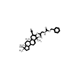 CC1(C)C2=CCC3C(CC[C@@]4(C)C3CC[C@]4(C)O)[C@@]2(C)CC(C#N)=C1OC(=O)CNC(=O)OCc1ccccc1